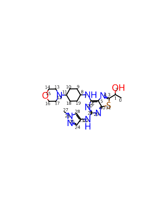 CC(O)c1nc2c(NC3CCC(N4CCOCC4)CC3)nc(Nc3cnn(C)c3)nc2s1